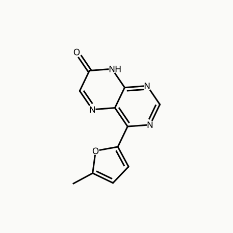 Cc1ccc(-c2ncnc3[nH]c(=O)cnc23)o1